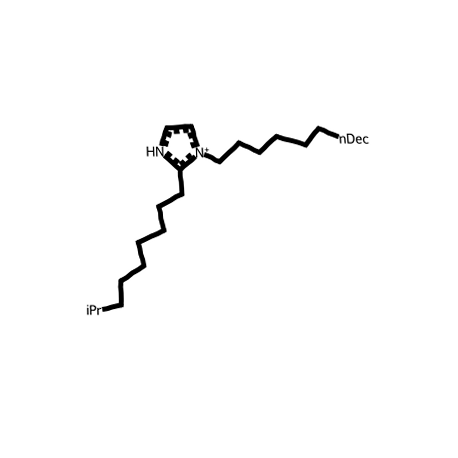 CCCCCCCCCCCCCCCC[n+]1cc[nH]c1CCCCCCCC(C)C